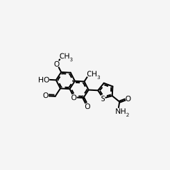 COc1cc2c(C)c(-c3ccc(C(N)=O)s3)c(=O)oc2c(C=O)c1O